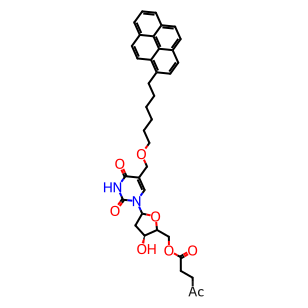 CC(=O)CCC(=O)OCC1OC(n2cc(COCCCCCCc3ccc4ccc5cccc6ccc3c4c56)c(=O)[nH]c2=O)C[C@@H]1O